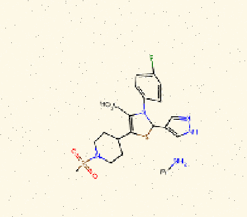 CC(C)N.CS(=O)(=O)N1CCC(C2=C(C(=O)O)N(c3ccc(F)cc3)C(c3cn[nH]c3)S2)CC1